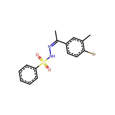 C/C(=N/NS(=O)(=O)c1ccccc1)c1ccc(Br)c(C)c1